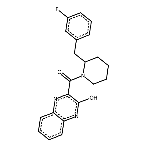 O=C(c1nc2ccccc2nc1O)N1CCCCC1Cc1cccc(F)c1